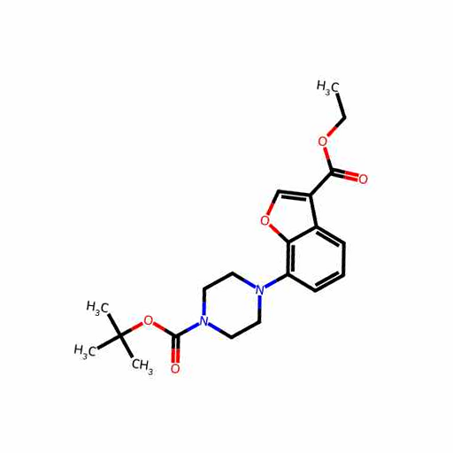 CCOC(=O)c1coc2c(N3CCN(C(=O)OC(C)(C)C)CC3)cccc12